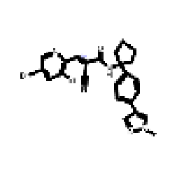 Cn1cc(-c2ccc(C3(NC(=O)/C(C#N)=C/c4ncc(Br)cc4Br)CCCC3)cc2)cn1